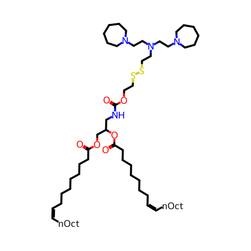 CCCCCCCC/C=C\CCCCCCCC(=O)OCC(CNC(=O)OCCSSCCN(CCN1CCCCCC1)CCN1CCCCCC1)OC(=O)CCCCCCC/C=C\CCCCCCCC